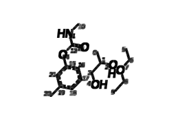 CC(O)CO.CCOCC.CNC(=O)Oc1cccc(C)c1